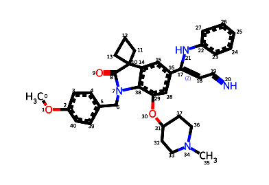 COc1ccc(CN2C(=O)C3(CCC3)c3cc(/C(=C/C=N)Nc4ccccc4)cc(OC4CCN(C)CC4)c32)cc1